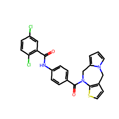 O=C(Nc1ccc(C(=O)N2Cc3cccn3Cc3ccsc32)cc1)c1cc(Cl)ccc1Cl